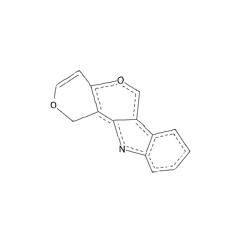 C1=Cc2occ3c4ccccc4nc-3c2CO1